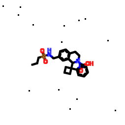 CCCS(=O)(=O)NCc1ccc2c(c1)C(C1(c3ccccn3)CCC1)N(C(=O)O)CC2